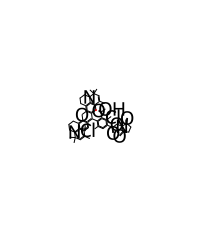 CC1=CC(C)(C)N2CCCc3c4c(cc1c32)C(c1c(Cl)cc(C(=O)ON2C(=O)CCC2=O)c(Cl)c1C(=O)O)=c1cc2c3c(c1O4)CCC[N+]=3C(C)(C)C=C2C